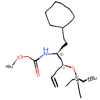 C=C[C@H](O[Si](C)(C)C(C)(C)C)[C@H](CC1CCCCC1)NC(=O)OC(C)(C)C